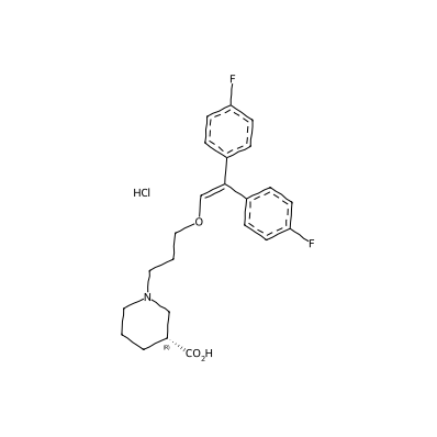 Cl.O=C(O)[C@@H]1CCCN(CCCOC=C(c2ccc(F)cc2)c2ccc(F)cc2)C1